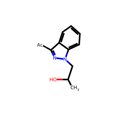 CC(=O)c1nn(CC(C)O)c2ccccc12